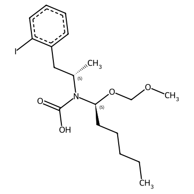 CCCCC[C@H](OCOC)N(C(=O)O)[C@@H](C)Cc1ccccc1I